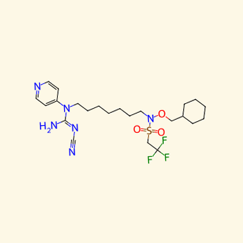 N#CN=C(N)N(CCCCCCCN(OCC1CCCCC1)S(=O)(=O)CC(F)(F)F)c1ccncc1